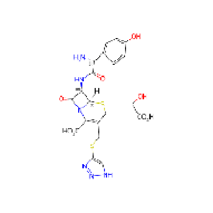 N[C@@H](C(=O)N[C@@H]1C(=O)N2C(C(=O)O)=C(CSc3c[nH]nn3)CS[C@H]12)c1ccc(O)cc1.O=C(O)CO